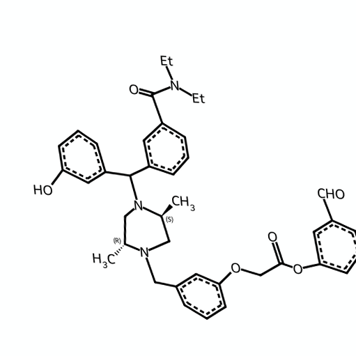 CCN(CC)C(=O)c1cccc(C(c2cccc(O)c2)N2C[C@@H](C)N(Cc3cccc(OCC(=O)Oc4cccc(C=O)c4)c3)C[C@@H]2C)c1